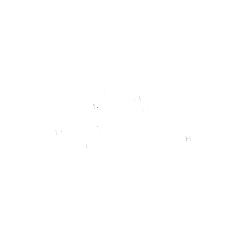 CCCOC(=O)CC(c1ncc(C(C)C)s1)C(C)C